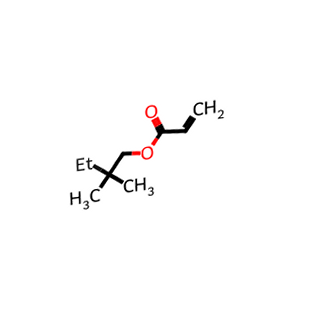 C=CC(=O)OCC(C)(C)CC